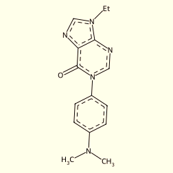 CCn1cnc2c(=O)n(-c3ccc(N(C)C)cc3)cnc21